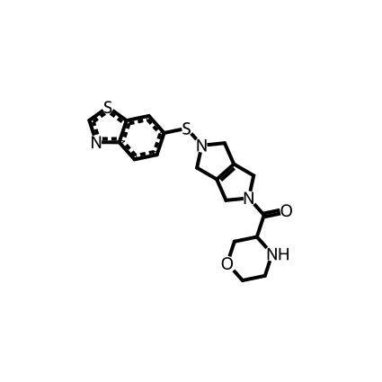 O=C(C1COCCN1)N1CC2=C(CN(Sc3ccc4ncsc4c3)C2)C1